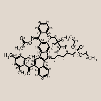 CCOP(=O)(CCCCCn1c2ccc(/C(=N\OC(C)=O)c3ccccc3OCC(F)(F)C(F)F)cc2c2cc(C(=O)c3c(C)cc(C)cc3C)c3ccccc3c21)OCC